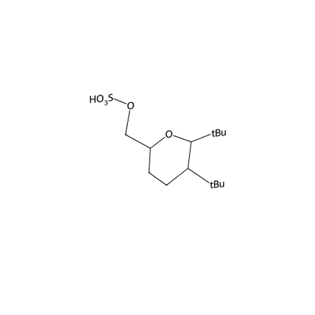 CC(C)(C)C1CCC(COS(=O)(=O)O)OC1C(C)(C)C